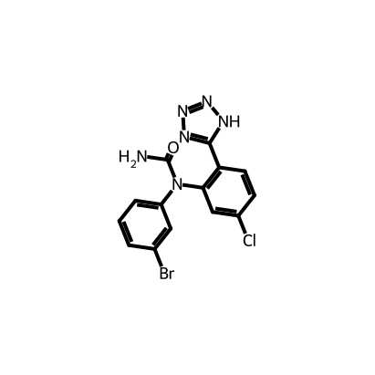 NC(=O)N(c1cccc(Br)c1)c1cc(Cl)ccc1-c1nnn[nH]1